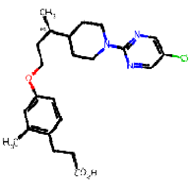 Cc1cc(OCC[C@@H](C)C2CCN(c3ncc(Cl)cn3)CC2)ccc1CCC(=O)O